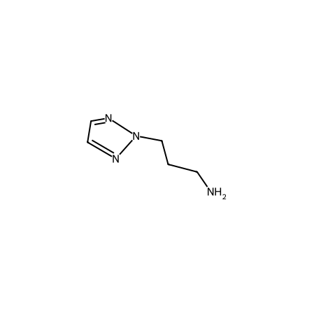 NCCCn1nccn1